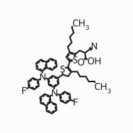 CCCCCCC1=C(c2cc(CCCCCC)c(CC(C#N)C(=O)O)s2)SC(c2cc(N(c3ccc(F)cc3)c3cccc4ccccc34)cc(N(c3ccc(F)cc3)c3cccc4ccccc34)c2)C1